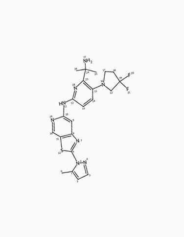 Cc1ccnn1-c1nc2cc(Nc3ccc(N4CCC(F)(F)C4)c(C(C)(C)N)n3)ncc2s1